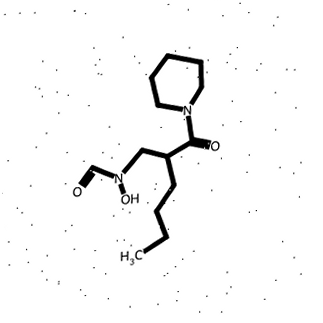 CCCCC(CN(O)C=O)C(=O)N1CCCCC1